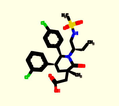 CC[C@@H](CNS(C)(=O)=O)N1C(=O)[C@](C)(CC(=O)O)C[C@H](c2cccc(Cl)c2)[C@H]1c1ccc(Cl)cc1